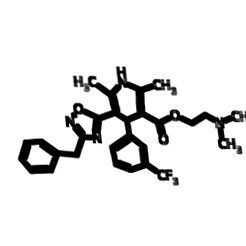 CC1=C(C(=O)OCCN(C)C)C(c2cccc(C(F)(F)F)c2)C(c2nc(Cc3ccccc3)no2)=C(C)N1